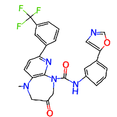 CN1CC(=O)CN(C(=O)Nc2cccc(-c3cnco3)c2)c2nc(-c3cccc(C(F)(F)F)c3)ccc21